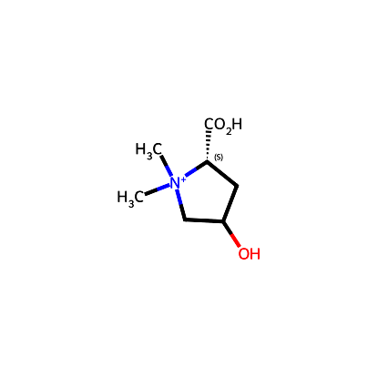 C[N+]1(C)CC(O)C[C@H]1C(=O)O